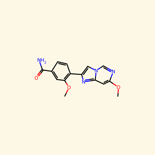 COc1cc2nc(-c3ccc(C(N)=O)cc3OC)cn2cn1